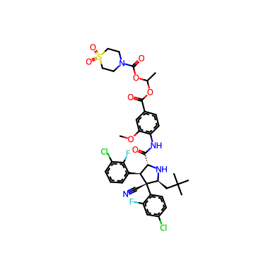 COc1cc(C(=O)OC(C)OC(=O)N2CCS(=O)(=O)CC2)ccc1NC(=O)[C@@H]1N[C@@H](CC(C)(C)C)[C@](C#N)(c2ccc(Cl)cc2F)[C@H]1c1cccc(Cl)c1F